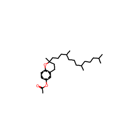 CC(=O)Oc1ccc2c(c1)CCC(C)(CCCC(C)CCCC(C)CCCC(C)C)O2